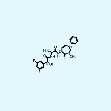 C[C@H](NC(=O)[C@@H](O)c1cc(F)cc(F)c1)C(=O)N[C@H]1C=C[C@H](c2ccccc2)CN(C)C1=O